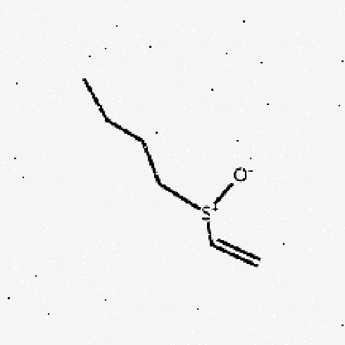 C=C[S+]([O-])CCCC